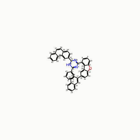 c1ccc(C2=NC(c3cccc4oc5ccc(-c6ccc7ccccc7c6)cc5c34)=NC(c3ccc4ccc5ccccc5c4c3)N2)cc1